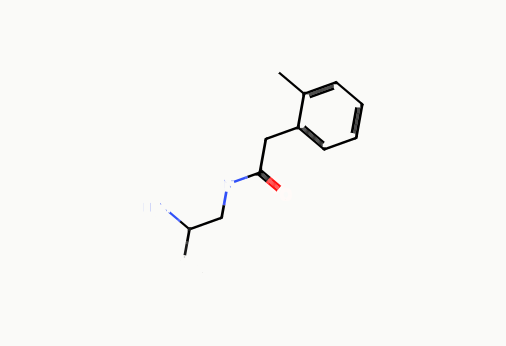 Cc1ccccc1CC(=O)NCC(N)C(=O)O